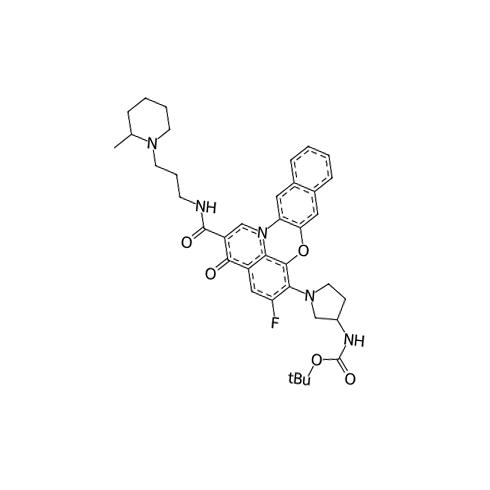 CC1CCCCN1CCCNC(=O)c1cn2c3c(c(N4CCC(NC(=O)OC(C)(C)C)C4)c(F)cc3c1=O)Oc1cc3ccccc3cc1-2